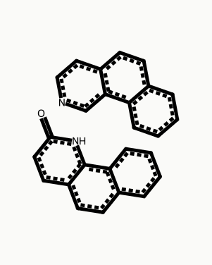 O=c1ccc2ccc3ccccc3c2[nH]1.c1ccc2c(c1)ccc1ccncc12